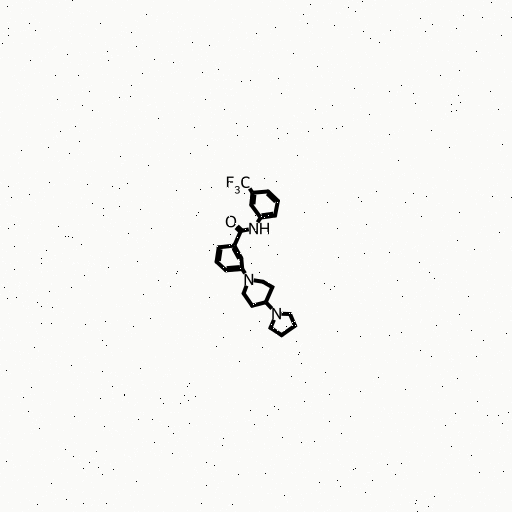 O=C(Nc1cccc(C(F)(F)F)c1)c1cccc(N2CCC(N3CCCC3)CC2)c1